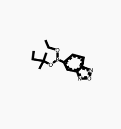 CCOB(OC(C)(C)CC)c1ccc2nonc2c1